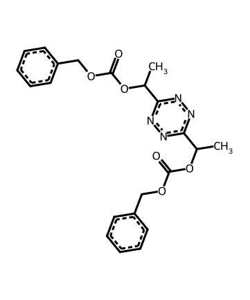 CC(OC(=O)OCc1ccccc1)c1nnc(C(C)OC(=O)OCc2ccccc2)nn1